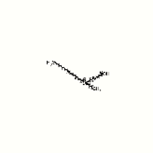 CCCCCCCCCCCCCCCCCCCCCC(=O)OC(CCCCCC)CCCCCCCCCCC(=O)O